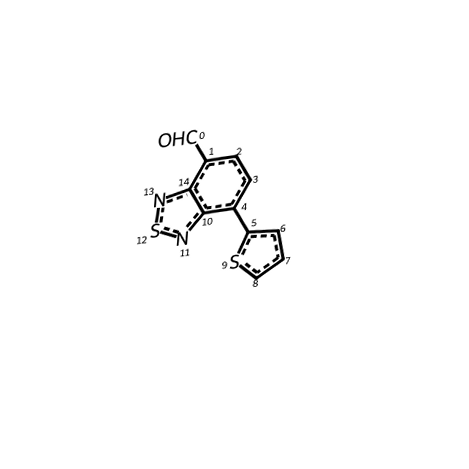 O=Cc1ccc(-c2cccs2)c2nsnc12